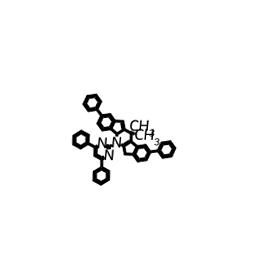 CC1(C)C2=Cc3cc(-c4ccccc4)ccc3C2N(c2nc(-c3ccccc3)cc(-c3ccccc3)n2)C2=C1c1cc(-c3ccccc3)ccc1C2